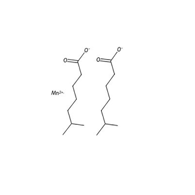 CC(C)CCCCC(=O)[O-].CC(C)CCCCC(=O)[O-].[Mn+2]